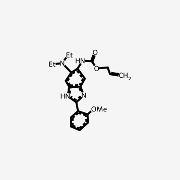 C=CCOC(=O)Nc1cc2nc(-c3ccccc3OC)[nH]c2cc1N(CC)CC